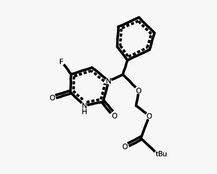 CC(C)(C)C(=O)OCOC(c1ccccc1)n1cc(F)c(=O)[nH]c1=O